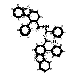 CC(NC(NC(=N)C1=C(c2ccccc2)c2c(oc3ccccc23)CC1)c1ccccc1)c1ccc2oc3c(c2c1-c1ccccc1)CCC=C3